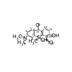 CN(C)c1ccc2c(c1)[Si](C)(C)c1c(ccc(O)c1C=O)C2=O